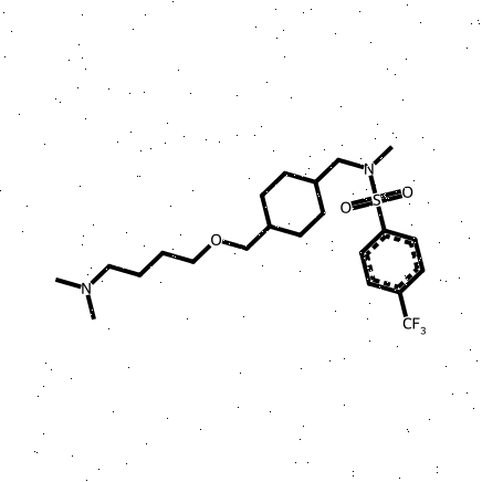 CN(C)CCCCOCC1CCC(CN(C)S(=O)(=O)c2ccc(C(F)(F)F)cc2)CC1